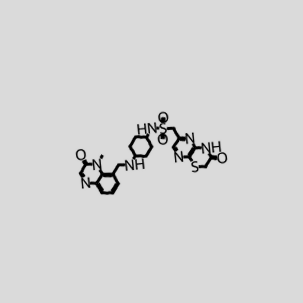 Cn1c(=O)cnc2cccc(CNC3CCC(NS(=O)(=O)Cc4cnc5c(n4)NC(=O)CS5)CC3)c21